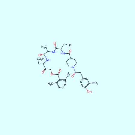 Cc1cccc(C)c1C(=O)OCC(=O)C(CC(=O)O)NC(=O)C(C)NC(=O)C(CC(C)C)NC(=O)C1CCN(C(=O)Cc2ccc(O)c([N+](=O)[O-])c2)CC1